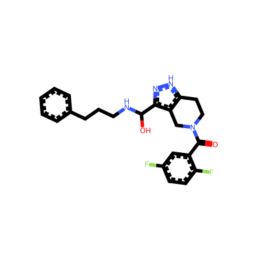 O=C(c1cc(F)ccc1F)N1CCc2[nH]nc(C(O)NCCCc3ccccc3)c2C1